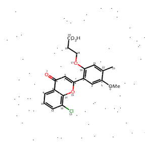 COc1cc(-c2cc(=O)c3cccc(Cl)c3o2)c(OCCC(=O)O)cc1C